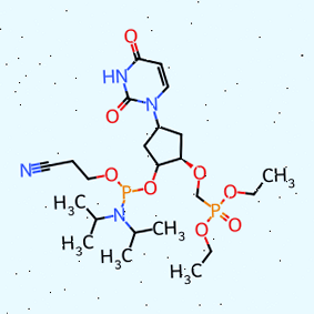 CCOP(=O)(CO[C@@H]1CC(n2ccc(=O)[nH]c2=O)CC1OP(OCCC#N)N(C(C)C)C(C)C)OCC